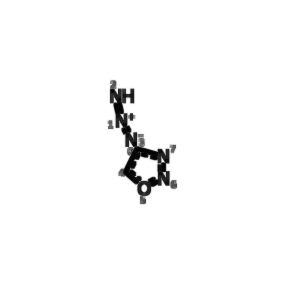 [N-]=[N+]=N.c1conn1